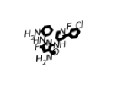 NC(=O)c1cc(F)c(NC2CCCCC2N)nc1Nc1ccnc(-c2cccc(Cl)c2F)c1